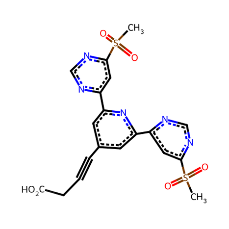 CS(=O)(=O)c1cc(-c2cc(C#CCC(=O)O)cc(-c3cc(S(C)(=O)=O)ncn3)n2)ncn1